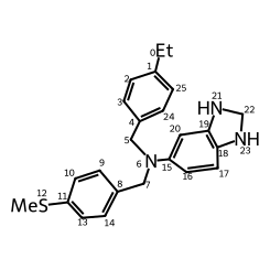 CCc1ccc(CN(Cc2ccc(SC)cc2)c2ccc3c(c2)NCN3)cc1